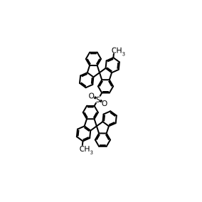 Cc1ccc2c(c1)C1(c3ccccc3-c3ccccc31)c1cc(S(=O)(=O)c3ccc4c(c3)C3(c5ccccc5-c5ccccc53)c3cc(C)ccc3-4)ccc1-2